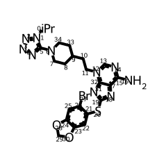 CC(C)n1nnnc1N1CCC(CCn2cnc(N)c3nc(Sc4cc5c(cc4Br)OCO5)nc2-3)CC1